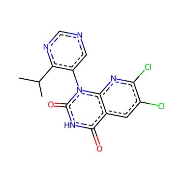 CC(C)c1ncncc1-n1c(=O)[nH]c(=O)c2cc(Cl)c(Cl)nc21